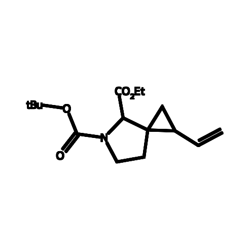 C=CC1CC12CCN(C(=O)OC(C)(C)C)C2C(=O)OCC